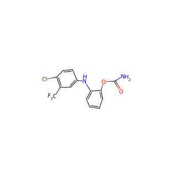 NC(=O)Oc1ccccc1Nc1ccc(Cl)c(C(F)(F)F)c1